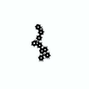 CC12CC=CC=C1c1cc(-c3ccc(N(c4ccccc4)c4ccccc4)c4ccccc34)ccc1N2c1ccc(-c2ccc3sc4ccccc4c3c2)cc1